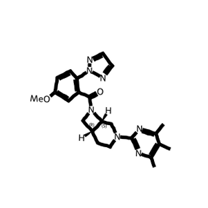 COc1ccc(-n2nccn2)c(C(=O)N2C[C@H]3CCN(c4nc(C)c(C)c(C)n4)C[C@H]32)c1